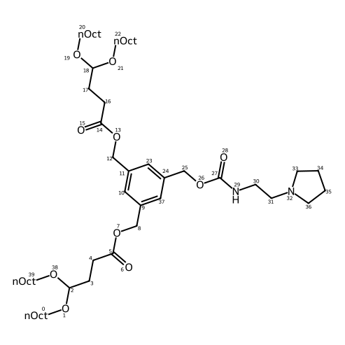 CCCCCCCCOC(CCC(=O)OCc1cc(COC(=O)CCC(OCCCCCCCC)OCCCCCCCC)cc(COC(=O)NCCN2CCCC2)c1)OCCCCCCCC